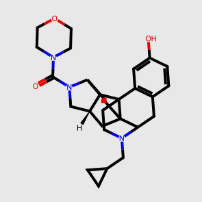 O=C(N1CCOCC1)N1C[C@H]2CC34CCC1C2C31CCN(CC2CC2)C4Cc2ccc(O)cc21